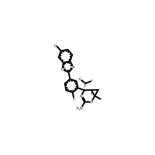 CC12C[C@@H]1[C@@](c1cc(-c3nc4ccc(Cl)cc4o3)ccc1F)(C(F)F)N=C(N)O2